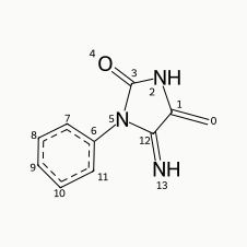 C=C1NC(=O)N(c2ccccc2)C1=N